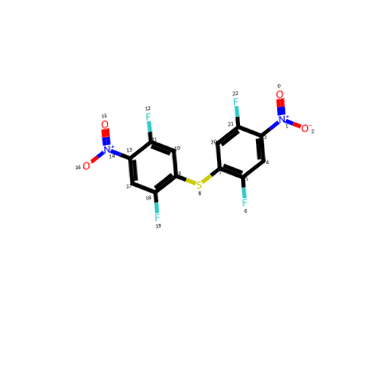 O=[N+]([O-])c1cc(F)c(Sc2cc(F)c([N+](=O)[O-])cc2F)cc1F